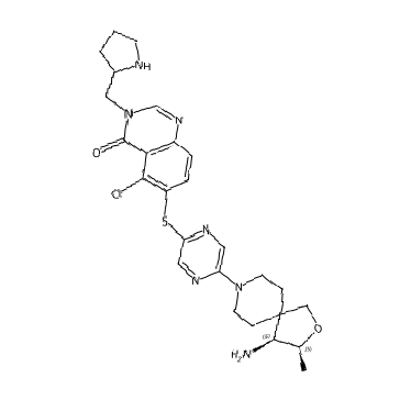 C[C@@H]1OCC2(CCN(c3cnc(Sc4ccc5ncn(CC6CCCN6)c(=O)c5c4Cl)cn3)CC2)[C@@H]1N